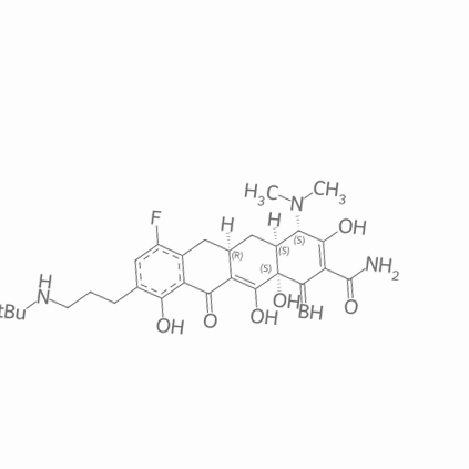 B=C1C(C(N)=O)=C(O)[C@@H](N(C)C)[C@@H]2C[C@@H]3Cc4c(F)cc(CCCNC(C)(C)C)c(O)c4C(=O)C3=C(O)[C@]12O